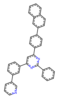 c1ccc(-c2nc(-c3ccc(-c4ccc5ccccc5c4)cc3)cc(-c3cccc(-c4cccnc4)c3)n2)cc1